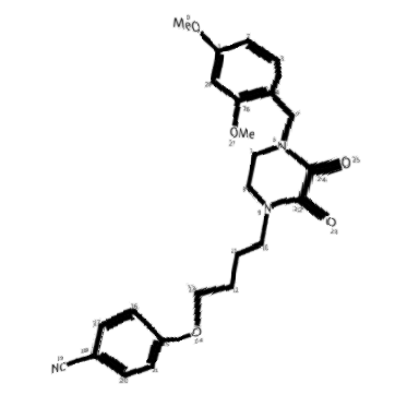 COc1ccc(CN2CCN(CCCCOc3ccc(C#N)cc3)C(=O)C2=O)c(OC)c1